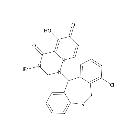 CC(C)N1CN(C2c3ccccc3SCc3c(Cl)cccc32)n2ccc(=O)c(O)c2C1=O